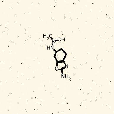 CB(O)NC1CCc2nc(N)oc2C1